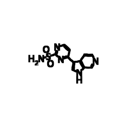 NS(=O)(=O)c1nccc(-c2c[nH]c3cnccc23)n1